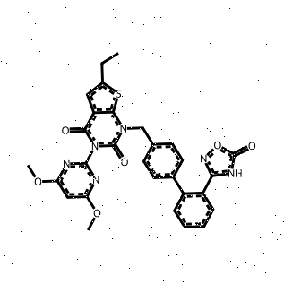 CCc1cc2c(=O)n(-c3nc(OC)cc(OC)n3)c(=O)n(Cc3ccc(-c4ccccc4-c4noc(=O)[nH]4)cc3)c2s1